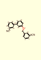 N#Cc1cccc(COc2cccc(-c3cccc(C#N)c3)c2)c1